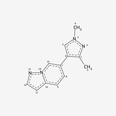 Cc1nn(C)cc1-c1ccc2ccnn2c1